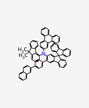 CC1(C)c2ccccc2-c2c(N(c3ccc4c5ccccc5c5ccccc5c4c3)c3cc4c(cc3-c3ccc(-c5ccc6ccccc6c5)cc3)-c3ccccc3C43c4ccccc4-c4ccccc43)cccc21